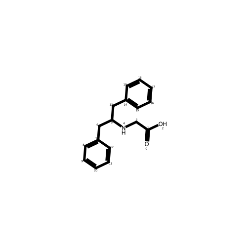 O=C(O)CNC(Cc1ccccc1)Cc1ccccc1